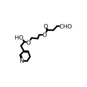 O=CCCC(=O)OCCCOC(O)CC1=CCCN=C1